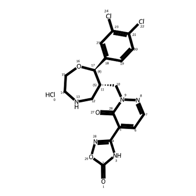 Cl.O=c1[nH]c(-c2ccnn(C[C@@H]3CNCCO[C@H]3c3ccc(Cl)c(Cl)c3)c2=O)no1